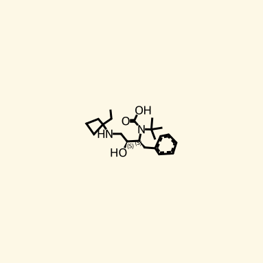 CCC1(NC[C@H](O)[C@H](Cc2ccccc2)N(C(=O)O)C(C)(C)C)CCC1